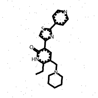 CCc1[nH]c(=O)c(-c2csc(-c3ccncc3)n2)cc1CN1CCCCC1